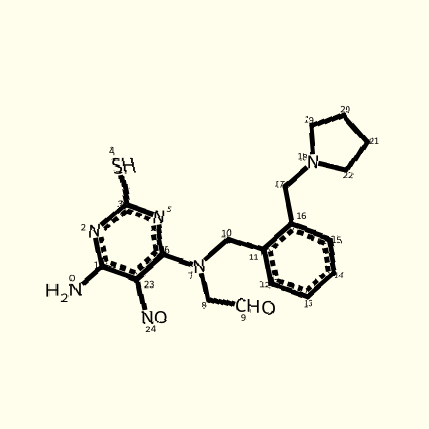 Nc1nc(S)nc(N(CC=O)Cc2ccccc2CN2CCCC2)c1N=O